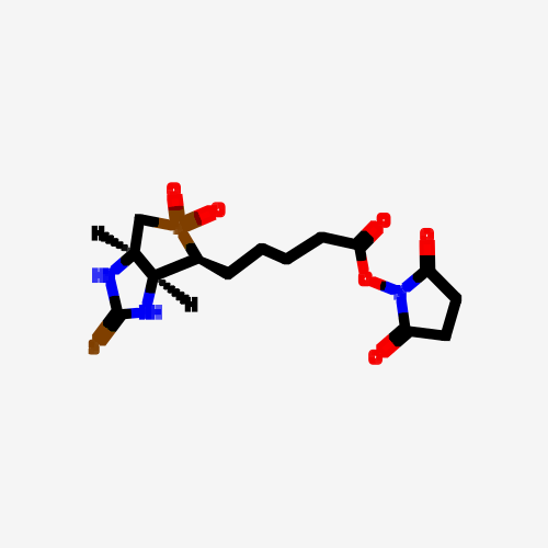 O=C(CCCC[C@H]1[C@H]2NC(=S)N[C@H]2CS1(=O)=O)ON1C(=O)CCC1=O